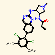 C=CC(=O)NC1CN(C)CC1Nc1ncc2cc(-c3c(Cl)c(OC)cc(OC)c3Cl)ccc2n1